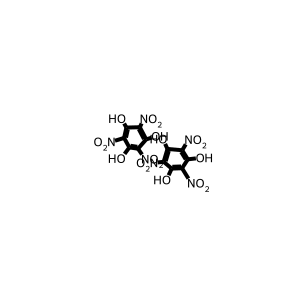 O=[N+]([O-])c1c(O)c([N+](=O)[O-])c(O)c([N+](=O)[O-])c1O.O=[N+]([O-])c1c(O)c([N+](=O)[O-])c(O)c([N+](=O)[O-])c1O